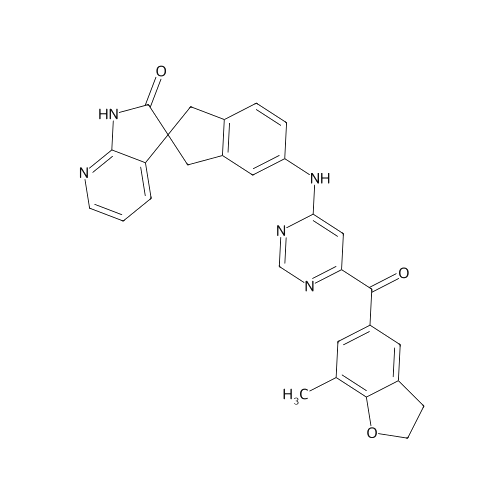 Cc1cc(C(=O)c2cc(Nc3ccc4c(c3)CC3(C4)C(=O)Nc4ncccc43)ncn2)cc2c1OCC2